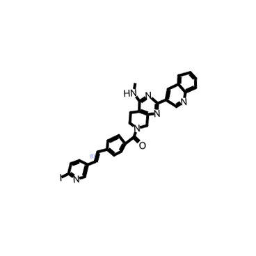 CNc1nc(-c2cnc3ccccc3c2)nc2c1CCN(C(=O)c1ccc(/C=C/c3ccc(I)nc3)cc1)C2